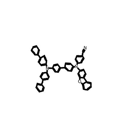 N#Cc1ccc(N(c2ccc(-c3ccc(N(c4ccc(-c5ccccc5)cc4)c4ccc(-c5ccccc5)cc4)cc3)cc2)c2ccc3c(c2)oc2ccccc23)cc1